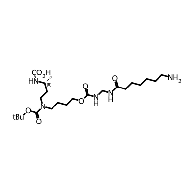 C[C@H](CCN(CCCCOC(=O)NCNC(=O)CCCCCCN)C(=O)OC(C)(C)C)NC(=O)O